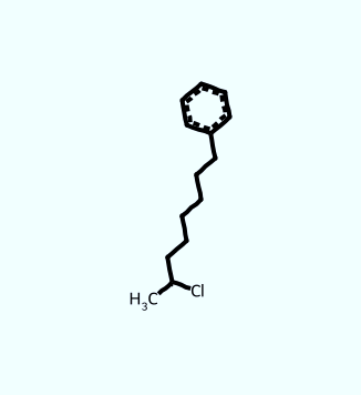 C[C](Cl)CCCCCCc1ccccc1